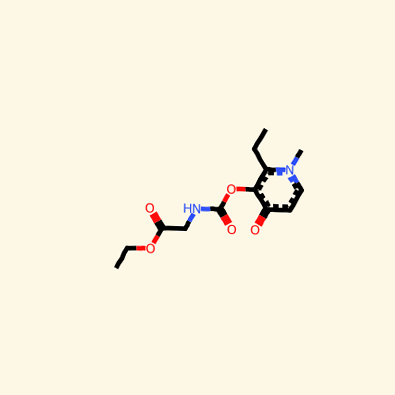 CCOC(=O)CNC(=O)Oc1c(CC)n(C)ccc1=O